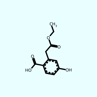 CCOC(=O)Cc1cc(O)ccc1C(=O)O